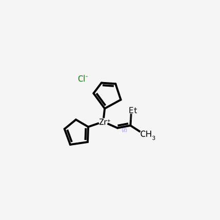 CC/C(C)=[CH]\[Zr+]([C]1=CC=CC1)[C]1=CC=CC1.[Cl-]